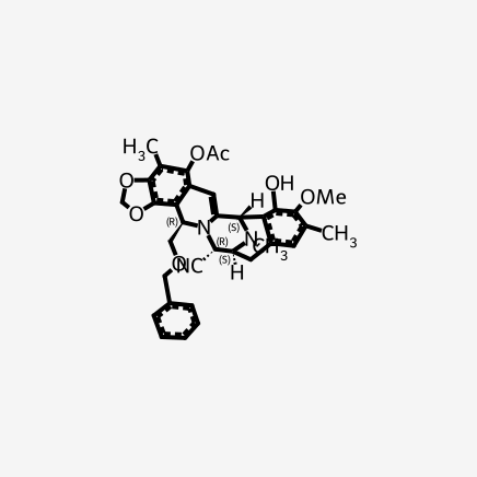 COc1c(C)cc2c(c1O)[C@H]1C3=Cc4c(OC(C)=O)c(C)c5c(c4[C@H](COCc4ccccc4)N3[C@@H](C#N)[C@H](C2)N1C)OCO5